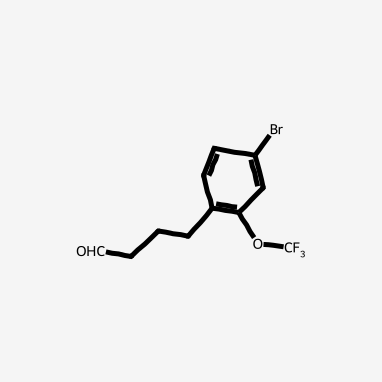 O=CCCCc1ccc(Br)cc1OC(F)(F)F